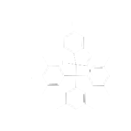 CC1=Cc2ccccc2[C]1([Ti+3])C(c1cc(C)cc(C)c1)(c1cc(C)cc(C)c1)c1cc(C)cc(C)c1.[Cl-].[Cl-].[Cl-]